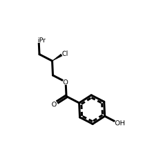 CC(C)C[C@@H](Cl)COC(=O)c1ccc(O)cc1